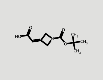 CC(C)(C)OC(=O)N1CC(=CC(=O)O)C1